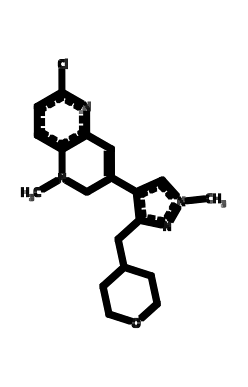 CN1CC(c2cn(C)nc2CC2CCOCC2)=Cc2nc(Cl)ccc21